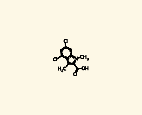 Cc1c(C(=O)O)n(C)c2cc(Cl)cc(Cl)c12